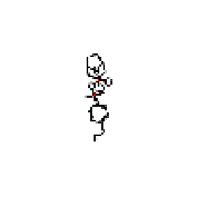 CC(C)(C)OC(=O)N1C2CCC1CC(OCc1ccc(CF)cc1)C2